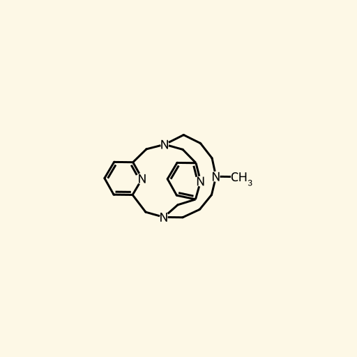 CN1CCCN2Cc3cccc(n3)CN(CCC1)Cc1cccc(n1)C2